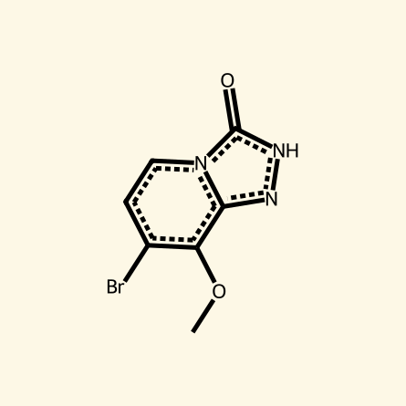 COc1c(Br)ccn2c(=O)[nH]nc12